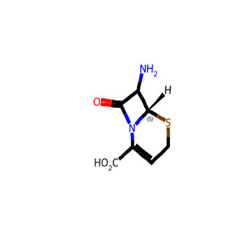 NC1C(=O)N2C(C(=O)O)=CCS[C@@H]12